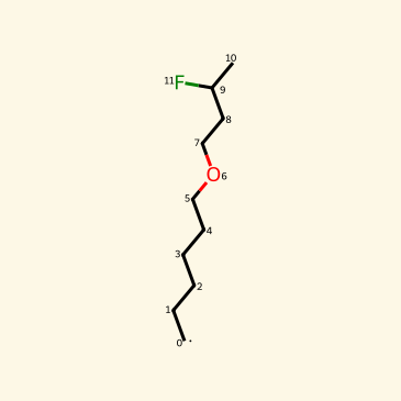 [CH2]CCCCCOCCC(C)F